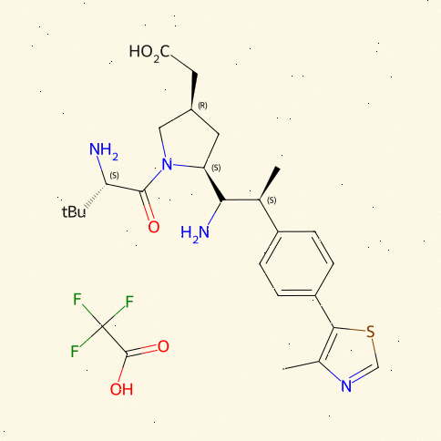 Cc1ncsc1-c1ccc([C@H](C)C(N)[C@@H]2C[C@H](CC(=O)O)CN2C(=O)[C@@H](N)C(C)(C)C)cc1.O=C(O)C(F)(F)F